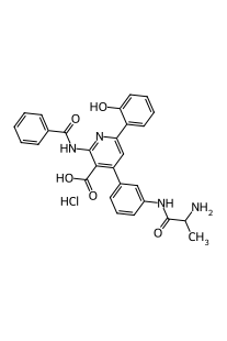 CC(N)C(=O)Nc1cccc(-c2cc(-c3ccccc3O)nc(NC(=O)c3ccccc3)c2C(=O)O)c1.Cl